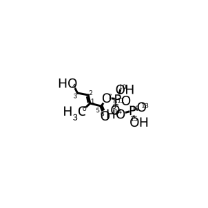 C/C(=C\CO)C(=O)OP(=O)(O)OP(=O)(O)O